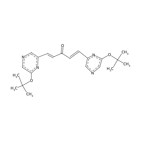 CC(C)(C)Oc1cncc(/C=C/C(=O)/C=C/c2cncc(OC(C)(C)C)n2)n1